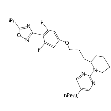 CCCCCc1cnc(N2CCCCC2CCCOc2cc(F)c(-c3noc(C(C)C)n3)c(F)c2)nc1